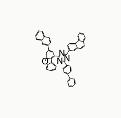 c1ccc(-c2ccc(-c3nc(-c4ccc5c(ccc6ccccc65)c4)nc(-c4cc(-c5ccc6ccccc6c5)cc5oc6ccccc6c45)n3)cc2)cc1